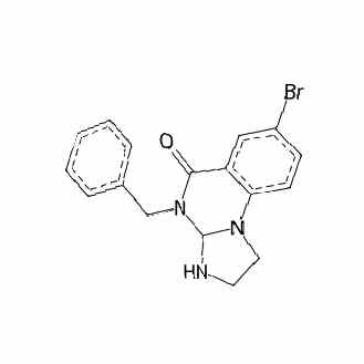 O=C1c2cc(Br)ccc2N2CCNC2N1Cc1ccccc1